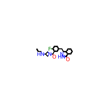 C=CCNC1CN(C(=O)c2cc(Cc3n[nH]c(=O)c4ccccc34)ccc2F)C1